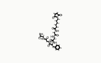 BC(=O)CNC(=O)CNC(=O)[C@H](Cc1ccccc1)NC(=O)CNC(=O)CNC(=O)CCCCCN1C(=O)C=CC1=O